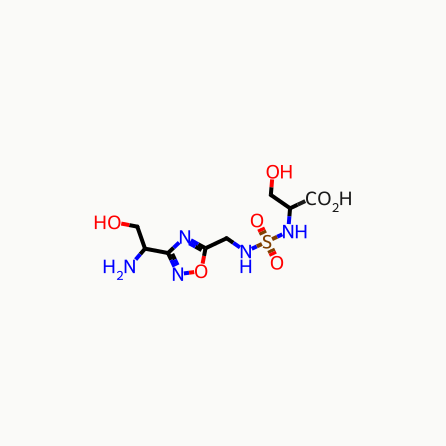 NC(CO)c1noc(CNS(=O)(=O)NC(CO)C(=O)O)n1